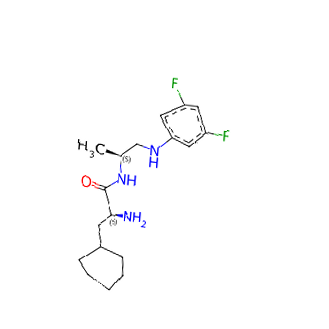 C[C@@H](CNc1cc(F)cc(F)c1)NC(=O)[C@@H](N)CC1CCCCC1